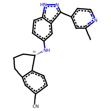 Cc1cc(-c2n[nH]c3ccc(N[C@H]4CCCc5cc(C#N)ccc54)cc23)ccn1